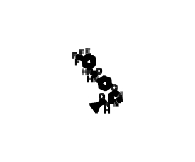 O=C(Nc1ccc(Oc2cc(NC(=O)C3CC3)ncn2)cc1)Nc1ccc(F)c(C(F)(F)F)c1